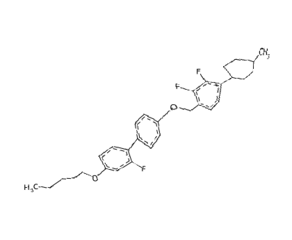 CCCCCOc1ccc(-c2ccc(OCc3ccc(C4CCC(C)CC4)c(F)c3F)cc2)c(F)c1